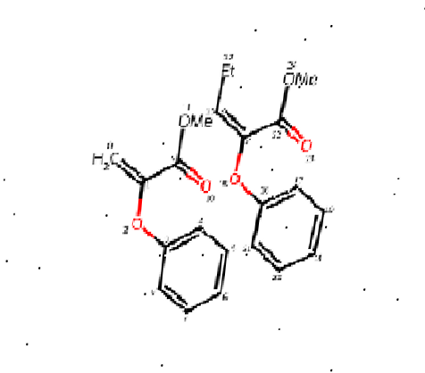 C=C(Oc1ccccc1)C(=O)OC.CCC=C(Oc1ccccc1)C(=O)OC